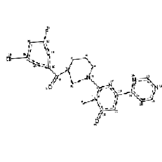 Cn1c(N2CCCC(C(=O)c3cc(F)cc(Cl)c3)C2)nc(-c2ccncn2)cc1=O